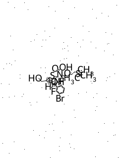 C[Si](C)(C)CCOCN(C(=O)O)C1=N[C@](CF)(c2cc(Br)ccc2F)[C@@H]2C(CO)[C@@]2(CO)S1